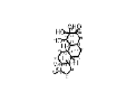 C[C@@H]1CC[C@H]2[C@@H]3CCC4CC(=O)C(O)(O)C(O)[C@]4(C)[C@H]3CC[C@]12C